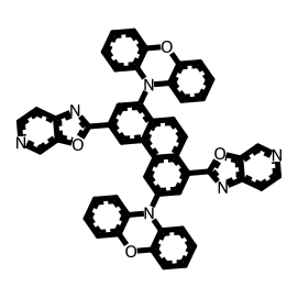 c1ccc2c(c1)Oc1ccccc1N2c1cc(-c2nc3ccncc3o2)c2ccc3c(N4c5ccccc5Oc5ccccc54)cc(-c4nc5ccncc5o4)cc3c2c1